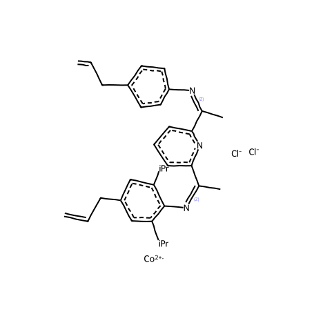 C=CCc1ccc(/N=C(/C)c2cccc(/C(C)=N\c3c(C(C)C)cc(CC=C)cc3C(C)C)n2)cc1.[Cl-].[Cl-].[Co+2]